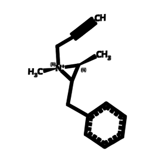 C#CC[N@@+]1(C)C(Cc2ccccc2)[C@@H]1C